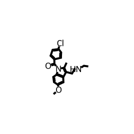 CCNCCc1c(C)n(C(=O)c2ccc(Cl)cc2)c2ccc(OC)cc12